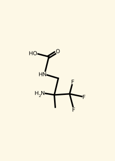 CC(N)(CNC(=O)O)C(F)(F)F